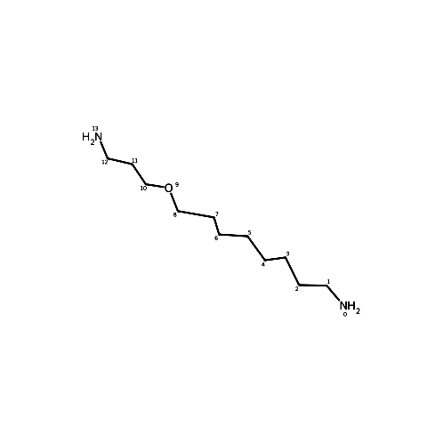 NCCCCCCCCOCCCN